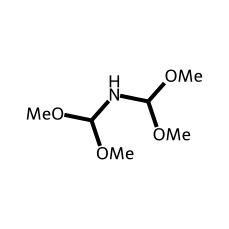 COC(NC(OC)OC)OC